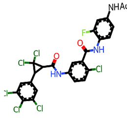 CC(=O)Nc1ccc(NC(=O)c2cc(NC(=O)C3C(c4cc(Cl)c(Cl)c(Cl)c4)C3(Cl)Cl)ccc2Cl)c(F)c1